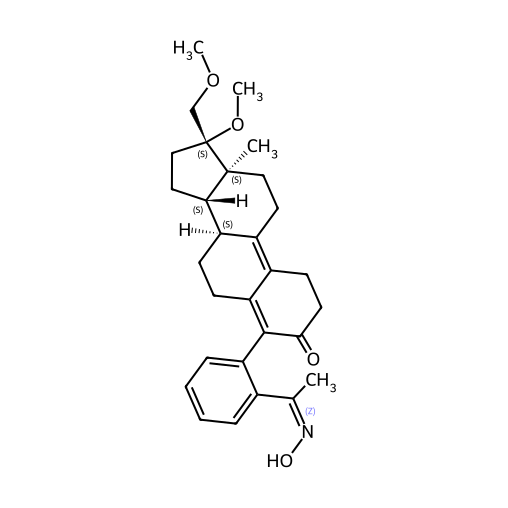 COC[C@]1(OC)CC[C@H]2[C@@H]3CCC4=C(c5ccccc5/C(C)=N\O)C(=O)CCC4=C3CC[C@@]21C